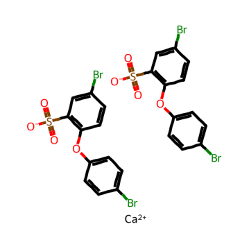 O=S(=O)([O-])c1cc(Br)ccc1Oc1ccc(Br)cc1.O=S(=O)([O-])c1cc(Br)ccc1Oc1ccc(Br)cc1.[Ca+2]